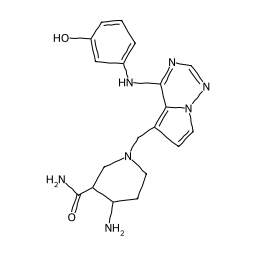 NC(=O)C1CN(Cc2ccn3ncnc(Nc4cccc(O)c4)c23)CCC1N